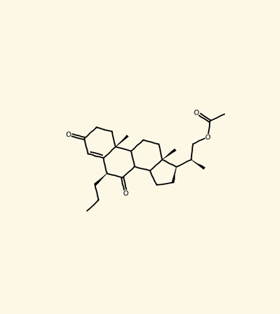 CCC[C@@H]1C(=O)C2C(CC[C@@]3(C)C2CC[C@@H]3[C@H](C)COC(C)=O)[C@@]2(C)CCC(=O)C=C12